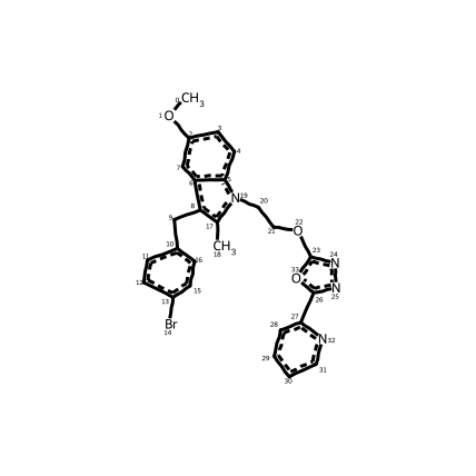 COc1ccc2c(c1)c(Cc1ccc(Br)cc1)c(C)n2CCOc1nnc(-c2ccccn2)o1